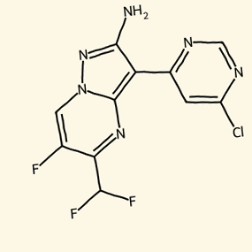 Nc1nn2cc(F)c(C(F)F)nc2c1-c1cc(Cl)ncn1